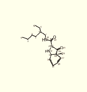 CCCCC(CC)CNC(=O)N1NC2C=CC=C[C@@]2(I)C1=O